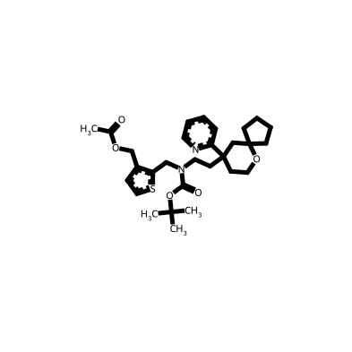 CC(=O)OCc1ccsc1CN(CCC1(c2ccccn2)CCOC2(CCCC2)C1)C(=O)OC(C)(C)C